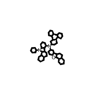 c1ccc(-n2c3cccc(N(c4ccc5oc6c7ccccc7ccc6c5c4)c4ccc5c6ccccc6c6ccccc6c5c4)c3c3ccc4ccccc4c32)cc1